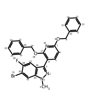 Cn1nc(-c2ccc(OCc3ccccc3)nc2OCc2ccccc2)c2cc(F)c(Br)cc21